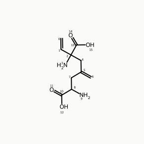 C=CC(N)(CC(=C)CC(N)C(=O)O)C(=O)O